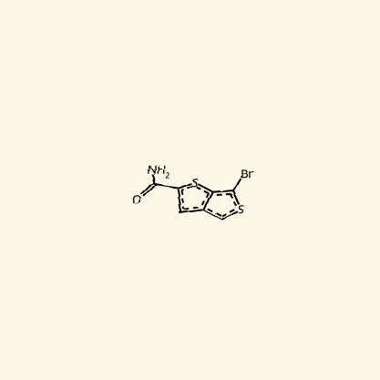 NC(=O)c1cc2csc(Br)c2s1